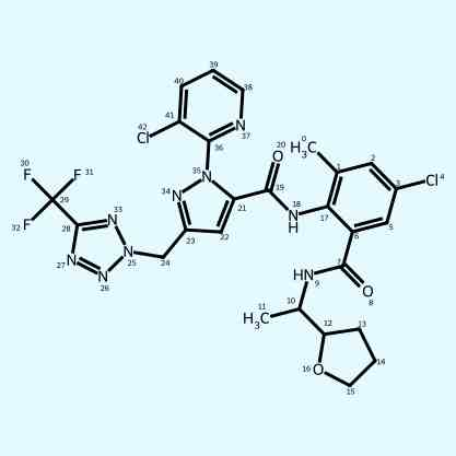 Cc1cc(Cl)cc(C(=O)NC(C)C2CCCO2)c1NC(=O)c1cc(Cn2nnc(C(F)(F)F)n2)nn1-c1ncccc1Cl